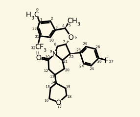 Cc1cc([C@@H](C)O[C@H]2CN3C(=O)CC(C4CCOCC4)CC3[C@@H]2c2ccc(F)cc2)cc(C(F)(F)F)c1